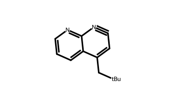 CC(C)(C)Cc1cc#[n+]c2ncccc12